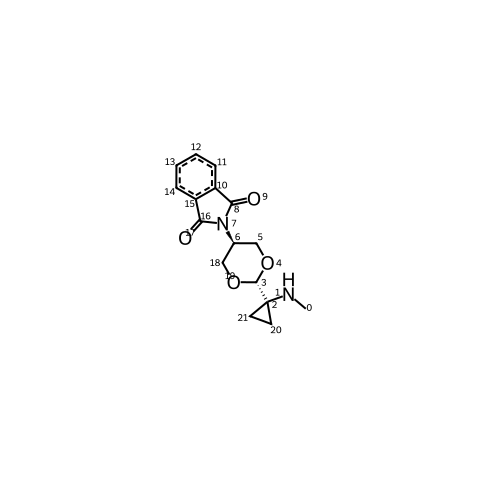 CNC1([C@H]2OC[C@H](N3C(=O)c4ccccc4C3=O)CO2)CC1